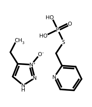 CCc1c[nH]n[n+]1[O-].O=P(O)(O)SCc1ccccn1